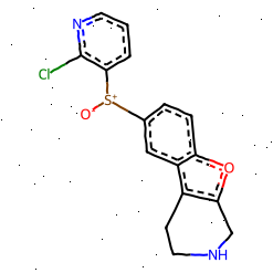 [O-][S+](c1ccc2oc3c(c2c1)CCNC3)c1cccnc1Cl